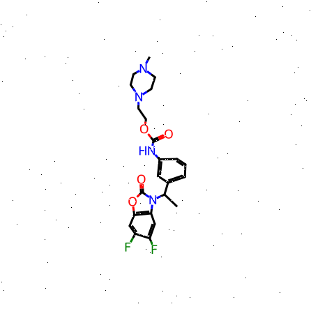 CC(c1cccc(NC(=O)OCCN2CCN(C)CC2)c1)n1c(=O)oc2cc(F)c(F)cc21